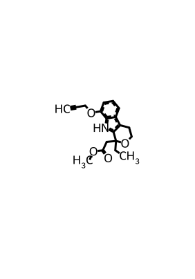 C#CCOc1cccc2c3c([nH]c12)C(CC)(CC(=O)OC)OCC3